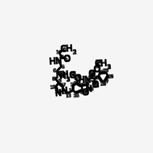 C=CC(=O)NCCNCc1cnn(Cc2cc(OC)c3c(NS(=O)(=O)c4ccccc4OC)noc3c2)c1